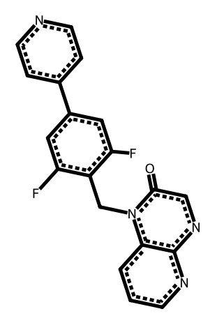 O=c1cnc2ncccc2n1Cc1c(F)cc(-c2ccncc2)cc1F